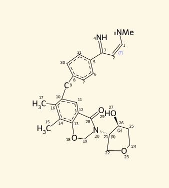 CN/C=C\C(=N)c1ccc(Cc2cc3c(c(C)c2C)OCN([C@H]2COCC[C@@H]2O)C3=O)cc1